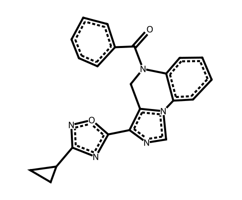 O=C(c1ccccc1)N1Cc2c(-c3nc(C4CC4)no3)ncn2-c2ccccc21